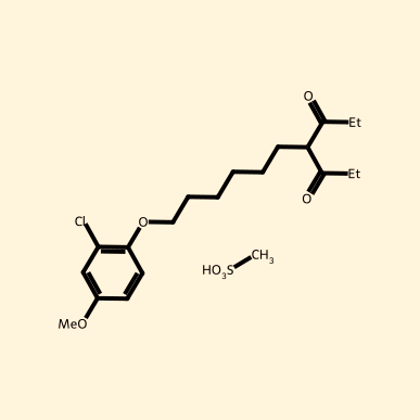 CCC(=O)C(CCCCCCOc1ccc(OC)cc1Cl)C(=O)CC.CS(=O)(=O)O